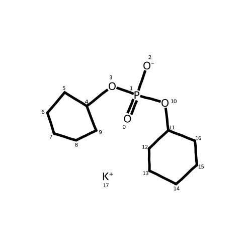 O=P([O-])(OC1CCCCC1)OC1CCCCC1.[K+]